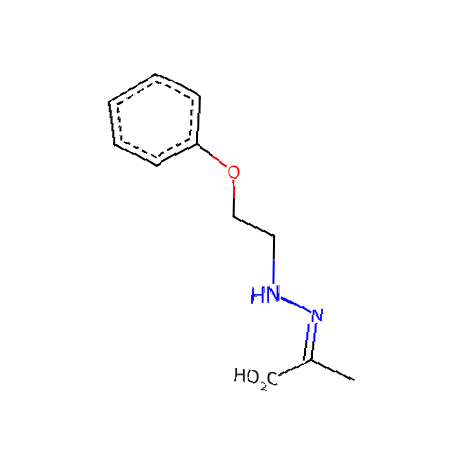 C/C(=N/NCCOc1ccccc1)C(=O)O